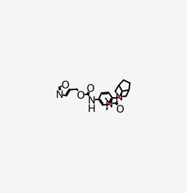 CN(C)C(=O)N1CC2CCC(C1)C2Cc1ccc(NC(=O)OCc2cnco2)cc1